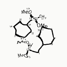 CO[SiH](CC1CCCCC1)OC.CO[Si](C)(OC)C1CCCCC1